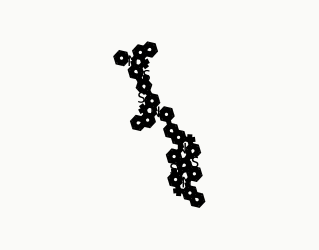 CC1(C)c2cc3ccccc3cc2N(c2ccccc2)c2c1ccc1sc3cc4c(cc3c21)sc1ccc2c(c14)N(c1ccccc1)c1cc3ccc(-c4cccc(N5c6ccc7ccccc7c6C(C)(C)c6c5ccc5c6sc6cc7c(cc65)sc5c6c(ccc57)N(c5ccccc5)c5ccc7ccccc7c5C6(C)C)c4)cc3cc1C2(C)C